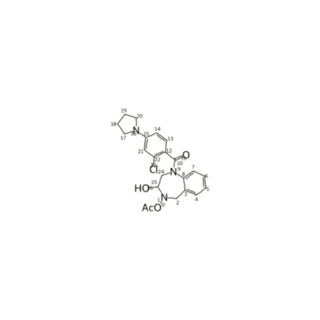 CC(=O)ON1Cc2ccccc2N(C(=O)c2ccc(N3CCCC3)cc2Cl)CC1O